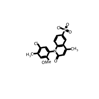 COc1cc(C)c(Cl)cc1-n1c(=O)cc(C)c2cc(S(=O)(=O)Cl)ccc21